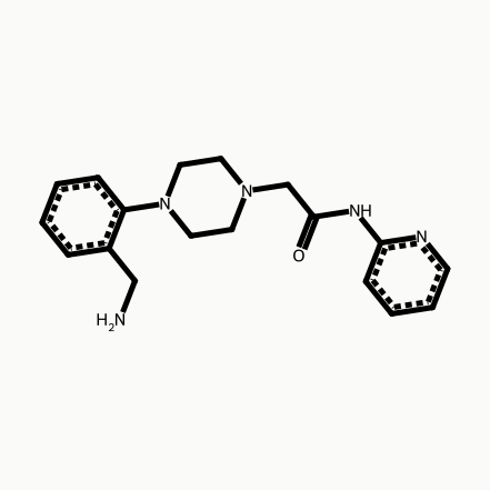 NCc1ccccc1N1CCN(CC(=O)Nc2ccccn2)CC1